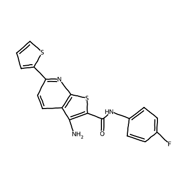 Nc1c(C(=O)Nc2ccc(F)cc2)sc2nc(-c3cccs3)ccc12